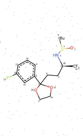 CC(C)(C)[S+]([O-])N[C@H](CCC1(c2cccc(F)c2)OCCO1)C(F)(F)F